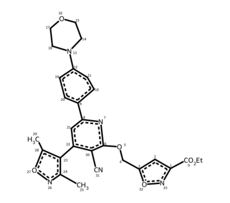 CCOC(=O)c1cc(COc2nc(-c3ccc(N4CCOCC4)cc3)cc(-c3c(C)noc3C)c2C#N)on1